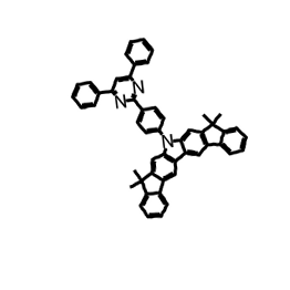 CC1(C)c2ccccc2-c2cc3c4cc5c(cc4n(-c4ccc(-c6nc(-c7ccccc7)cc(-c7ccccc7)n6)cc4)c3cc21)C(C)(C)c1ccccc1-5